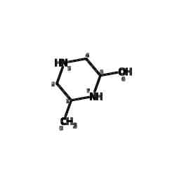 CC1CNCC(O)N1